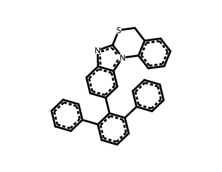 c1ccc(-c2cccc(-c3ccccc3)c2-c2ccc3nc4n(c3c2)-c2ccccc2CS4)cc1